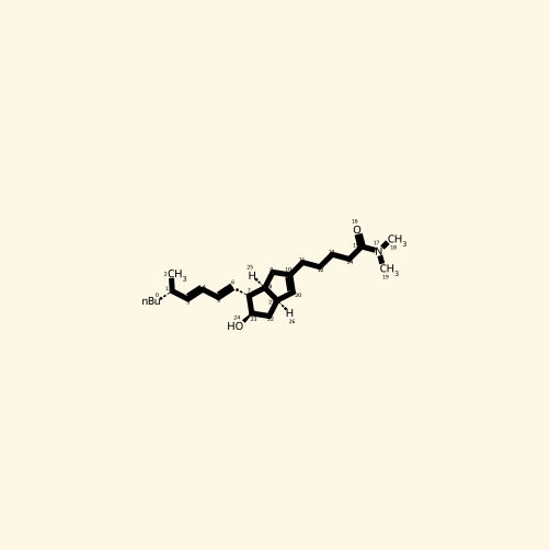 CCCC[C@H](C)/C=C/C=C/[C@@H]1[C@H]2CC(CCCCC(=O)N(C)C)=C[C@H]2C[C@H]1O